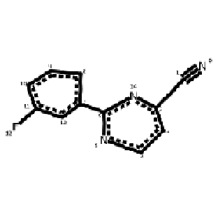 N#Cc1ccnc(-c2cccc(F)c2)n1